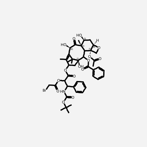 CC(=O)O[C@@]12CO[C@@H]1C[C@H](O)[C@@]1(C)C(=O)[C@H](O)C3=C(C)C(OC(=O)C(OC(=O)CBr)C(NC(=O)OC(C)(C)C)c4ccccc4)C[C@@](O)(C(OC(=O)c4ccccc4)C12)C3(C)C